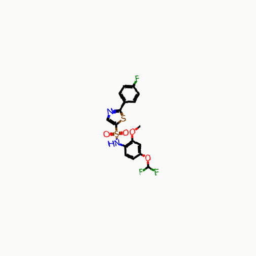 COc1cc(OC(F)F)ccc1NS(=O)(=O)c1cnc(-c2ccc(F)cc2)s1